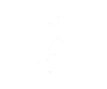 C/C=C/Cn1c(N2CCCC(N)C2)nc2cnn(CC(=O)c3ccccc3NC(C)=O)c(=O)c21